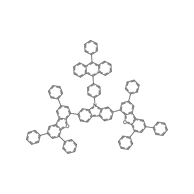 c1ccc(-c2cc(-c3ccccc3)c3oc4c(-c5ccc6c7ccc(-c8cc(-c9ccccc9)cc9c8oc8c(-c%10ccccc%10)cc(-c%10ccccc%10)cc89)cc7n(-c7ccc(-c8c9ccccc9c(-c9ccccc9)c9ccccc89)cc7)c6c5)cc(-c5ccccc5)cc4c3c2)cc1